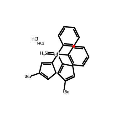 CC(C)(C)C1=CC[C]([Hf](=[SiH2])([C]2=CC(C(C)(C)C)=CC2)([c]2ccccc2)[c]2ccccc2)=C1.Cl.Cl